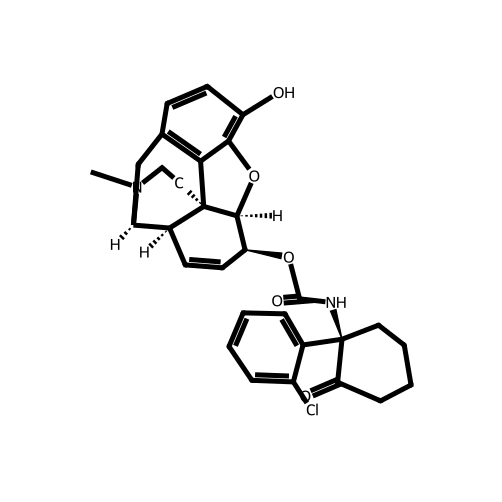 CN1CC[C@]23c4c5ccc(O)c4O[C@H]2[C@@H](OC(=O)N[C@@]2(c4ccccc4Cl)CCCCC2=O)C=C[C@H]3[C@H]1C5